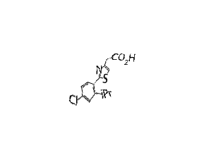 CC(C)c1cc(Cl)ccc1-c1nc(CC(=O)O)cs1